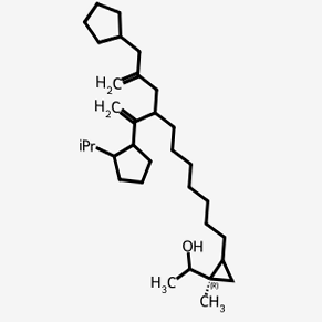 C=C(CC1CCCC1)CC(CCCCCCCC1C[C@@]1(C)C(C)O)C(=C)C1CCCC1C(C)C